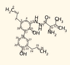 C=CCc1cc(NNC(=O)C(N)C(C)C)c(O)c(-c2ccc(O)c(CC=C)c2)c1